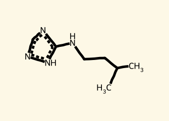 CC(C)CCNc1ncn[nH]1